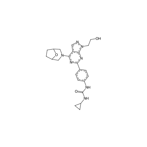 O=C(Nc1ccc(-c2nc(N3CC4CCC(C3)O4)c3cnn(CCO)c3n2)cc1)NC1CC1